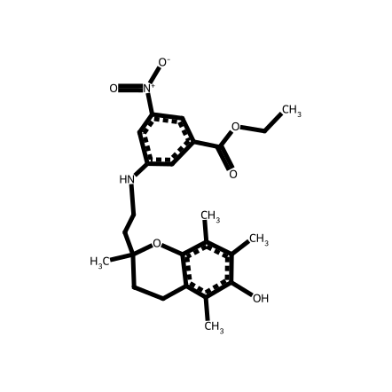 CCOC(=O)c1cc(NCCC2(C)CCc3c(C)c(O)c(C)c(C)c3O2)cc([N+](=O)[O-])c1